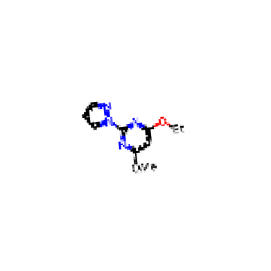 CCOc1cc(OC)nc(-n2cccn2)n1